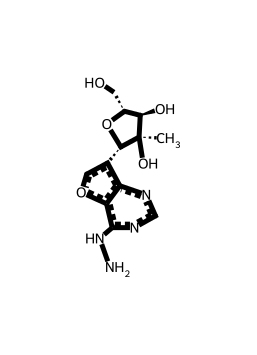 C[C@@]1(O)[C@H](O)[C@@H](CO)O[C@H]1c1coc2c(NN)ncnc12